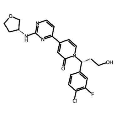 O=c1cc(-c2ccnc(N[C@@H]3CCOC3)n2)ccn1[C@H](CCO)c1ccc(Cl)c(F)c1